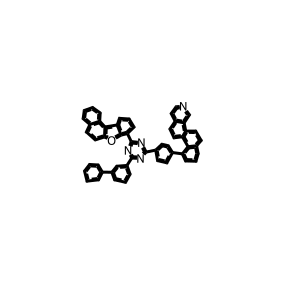 c1ccc(-c2cccc(-c3nc(-c4ccc(-c5cccc6ccc7c8cnccc8ccc7c56)cc4)nc(-c4cccc5c4oc4ccc6ccccc6c45)n3)c2)cc1